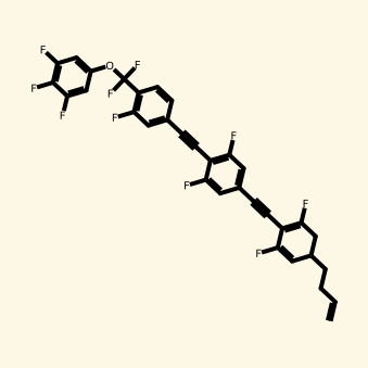 C=CCCC1C=C(F)C(C#Cc2cc(F)c(C#Cc3ccc(C(F)(F)Oc4cc(F)c(F)c(F)c4)c(F)c3)c(F)c2)=C(F)C1